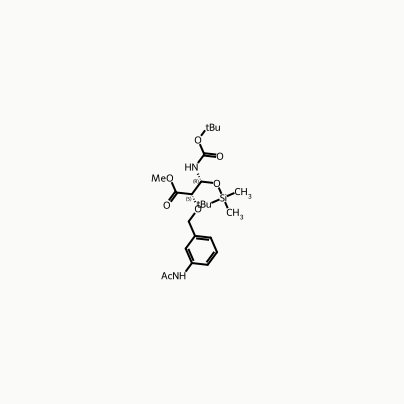 COC(=O)[C@@H](OCc1cccc(NC(C)=O)c1)[C@H](NC(=O)OC(C)(C)C)O[Si](C)(C)C(C)(C)C